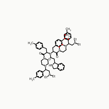 CCN(CC)CC(c1ccc(C)cc1)N1CCN(C(=O)C(Cc2ccc(C)cc2)N(C(=O)CC2NCc3ccccc32)C(Cc2ccc(C(N)=O)cc2)C(=O)N2CCN(C(CN(CC)CC)c3ccc(C)cc3)CC2)CC1